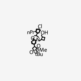 CCCc1cc(Cl)ccc1C1COc2ccc(C(CC(=O)OC(C)(C)C)C(=O)OC)cc2N(CC2CCC2CO)C1